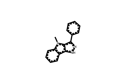 Cn1c2ccccc2c2[nH]nc(-c3ccccc3)c21